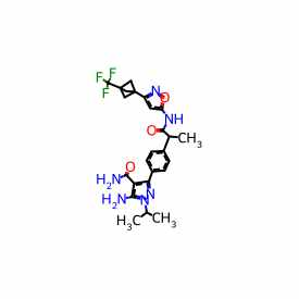 CC(C(=O)Nc1cc(C23CC(C(F)(F)F)(C2)C3)no1)c1ccc(-c2nn(C(C)C)c(N)c2C(N)=O)cc1